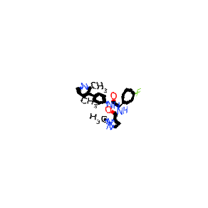 Cc1ccnc(C)c1-c1ccc(NC(=O)C(NC(=O)c2ccnn2C)[C@H]2CCC[C@@H](F)CC2)cc1